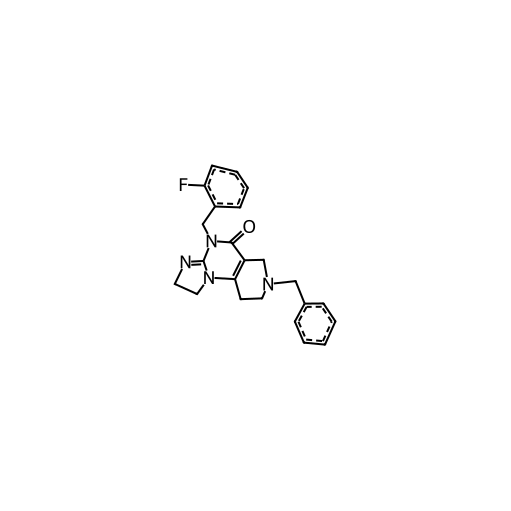 O=C1C2=C(CCN(Cc3ccccc3)C2)N2CCN=C2N1Cc1ccccc1F